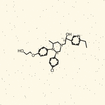 CCc1ccc([C@](C)(O)CN2CC(C)N(c3ccc(OCCO)cc3)[C@H](c3ccc(Cl)cc3)C2)cn1